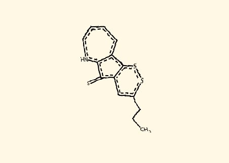 CCCc1cc2c(=S)c3[nH]ccccc3c2ss1